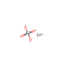 [Ca+2].[O]=[Re](=[O])([O-])[O-]